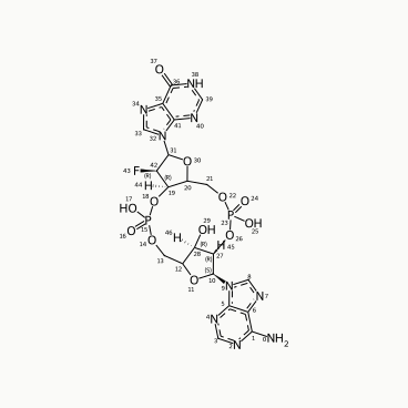 Nc1ncnc2c1ncn2[C@H]1OC2COP(=O)(O)O[C@@H]3C(COP(=O)(O)O[C@@H]1[C@@H]2O)OC(n1cnc2c(=O)[nH]cnc21)[C@@H]3F